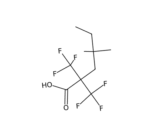 CCC(C)(C)CC(C(=O)O)(C(F)(F)F)C(F)(F)F